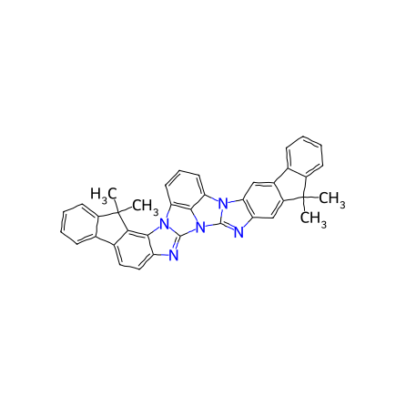 CC1(C)c2ccccc2-c2cc3c(cc21)nc1n3c2cccc3c2n1c1nc2ccc4c(c2n31)C(C)(C)c1ccccc1-4